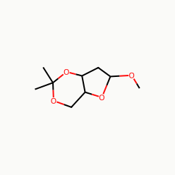 COC1CC2OC(C)(C)OCC2O1